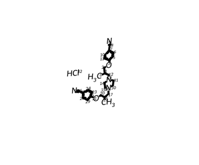 CC(COc1ccc(C#N)cc1)CN1CCN(CC(C)COc2ccc(C#N)cc2)CC1.Cl